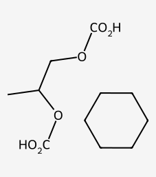 C1CCCCC1.CC(COC(=O)O)OC(=O)O